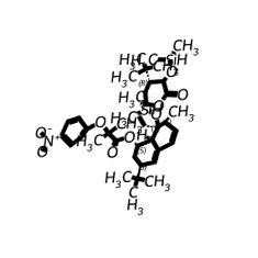 C[C@H]1C=CC2=C[C@@H](C(C)(C)C)C[C@H](OC(=O)C(C)(C)Oc3ccc([N+](=O)[O-])cc3)[C@@H]2[C@@]1(CC[C@@H]1C[C@H](C(C)(C)C)C(O[SiH](C)C)C(=O)O1)O[SiH](C)C